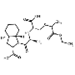 CCOC(=O)C(C)SC[C@H](N[C@@H](C)C(=O)N1[C@H](C(=O)O)C[C@H]2CCCC[C@@H]21)C(=O)O